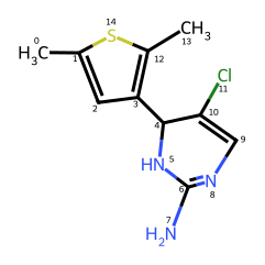 Cc1cc(C2NC(N)=NC=C2Cl)c(C)s1